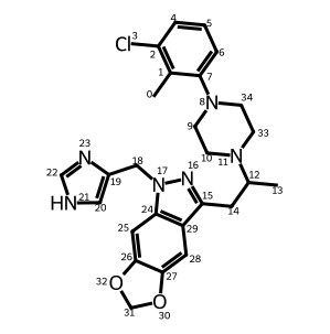 Cc1c(Cl)cccc1N1CCN(C(C)Cc2nn(Cc3c[nH]cn3)c3cc4c(cc23)OCO4)CC1